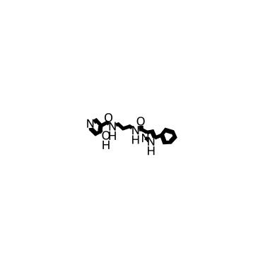 O=C(NCCCNC(=O)c1cnccc1O)c1cc(-c2ccccc2)[nH]n1